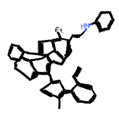 C=Cc1ccccc1-c1cc(C2=C(CC#C/C=C/NC3=CC=CCC3)C3(C(c4ccccc4)=Cc4c(CC)cccc43)c3ccccc32)ccc1C